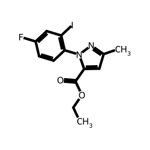 CCOC(=O)c1cc(C)nn1-c1ccc(F)cc1I